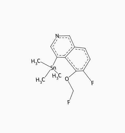 [CH3][Sn]([CH3])([CH3])[c]1cncc2ccc(F)c(OCF)c12